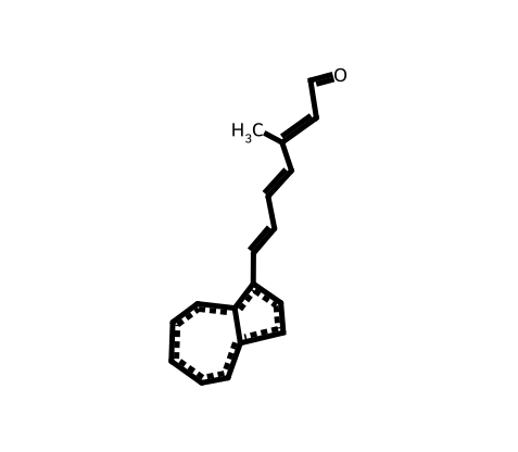 CC(/C=C/C=C/c1ccc2cccccc1-2)=C\C=O